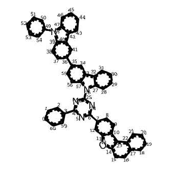 c1ccc(-c2nc(-c3ccc4c(c3)oc3ccc5ccccc5c34)nc(-n3c4ccccc4c4cc(-c5ccc6c(c5)c5ccccc5n6-c5ccccc5)ccc43)n2)cc1